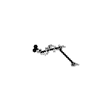 CC(C)(C)OC(=O)N[C@@H](CCCCNC(=O)CC[C@H](NC(=O)CCCCCCCCCCCCCCCCP(=O)(OC(C)(C)C)OC(C)(C)C)C(=O)OC(C)(C)C)C(=O)NCCCC[C@H](NC(=O)OCC1c2ccccc2-c2ccccc21)C(=O)O